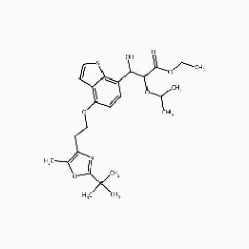 CCOC(=O)C(OC(C)C)C(O)c1ccc(OCCc2nc(C(C)(C)C)oc2C)c2ccsc12